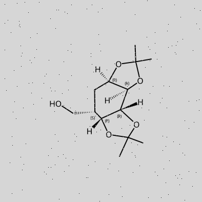 CC1(C)O[C@@H]2[C@H](O1)[C@H](CO)C[C@H]1OC(C)(C)O[C@@H]21